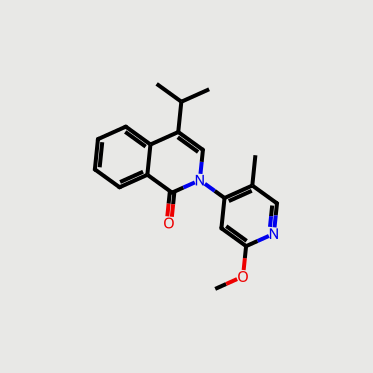 COc1cc(-n2cc(C(C)C)c3ccccc3c2=O)c(C)cn1